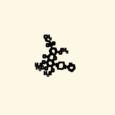 C=CCS(=O)(=O)c1cc(OC)c2oc3c(N4CCN(c5ccccn5)CC4)c(OC)c(OC)c(OC)c3c(=O)c2c1